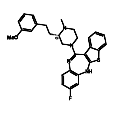 COc1cccc(CC[C@H]2CN(C3=Nc4ccc(F)cc4Nc4sc5ccccc5c43)CCN2C)c1